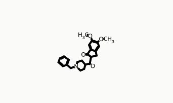 COc1cc2c(cc1OC)C(=O)C(C(=O)C1CCN(Cc3ccccc3)CC1)C2